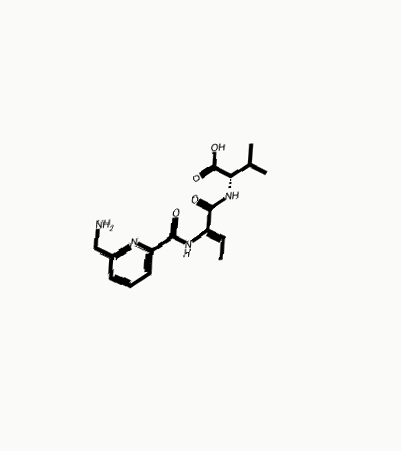 C/C=C(\NC(=O)c1cccc(CN)n1)C(=O)N[C@H](C(=O)O)C(C)C